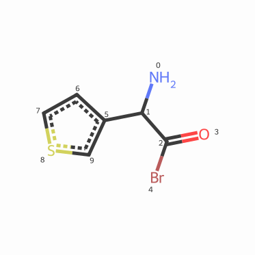 NC(C(=O)Br)c1ccsc1